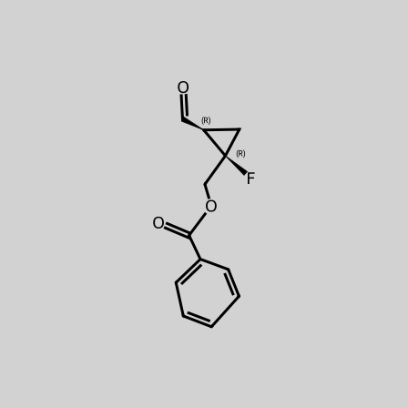 O=C[C@H]1C[C@]1(F)COC(=O)c1ccccc1